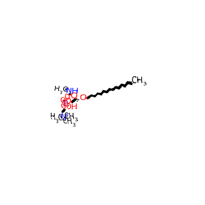 CCCCCCCCCCCCCCCCOC[C@H](COP(=O)(O)OCC[N+](C)(C)C)OC(=O)NC